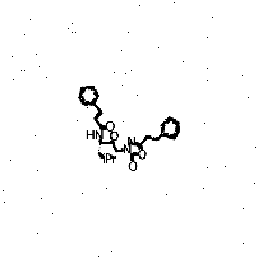 CC(C)C[C@H](NC(=O)/C=C/c1ccccc1)C(=O)Cn1nc(CCc2ccccc2)oc1=O